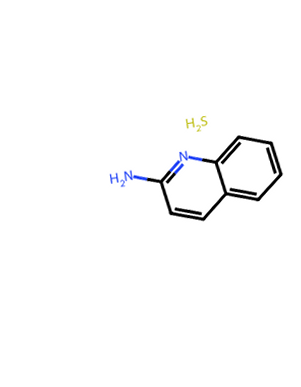 Nc1ccc2ccccc2n1.S